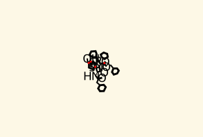 O=C(Cc1ccccc1)N[C@@H]1C(=O)N(C(C(=O)OCc2ccccc2)=P(c2ccccc2)(c2ccccc2)c2ccccc2)[C@@H]1SC(=O)CO